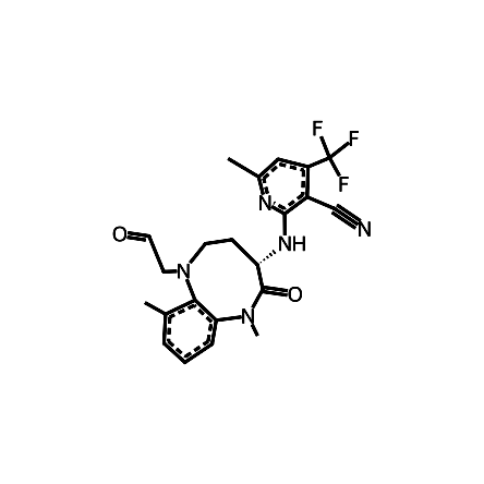 Cc1cc(C(F)(F)F)c(C#N)c(N[C@H]2CCN(CC=O)c3c(C)cccc3N(C)C2=O)n1